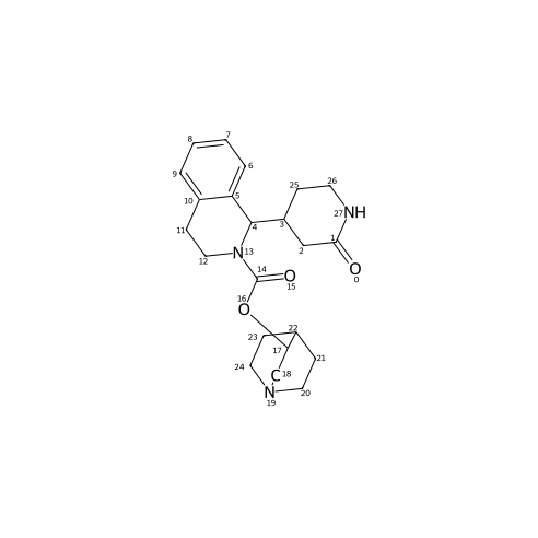 O=C1CC(C2c3ccccc3CCN2C(=O)OC2CN3CCC2CC3)CCN1